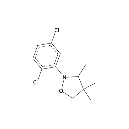 CC1N(c2cc(Cl)ccc2Cl)OCC1(C)C